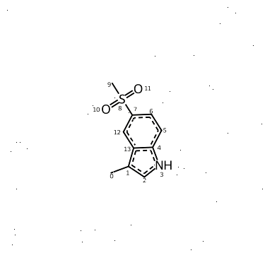 Cc1c[nH]c2ccc(S(C)(=O)=O)cc12